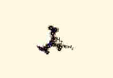 C=C/C=C\C1=Cc2ccccc2C2CC(C3=CC=C(N(/C=C/C=C(\C=C)c4ccc5c(c4)c4cccc6c7ccccc7n5c64)C4C=CC(c5ccc6c(c5)c5ccccc5n6-c5ccccc5)=CC4)CC3)=CC=C12